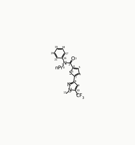 CCCN(C(=O)c1ccc(-c2cc(C(F)(F)F)n(C)n2)s1)c1ccccc1